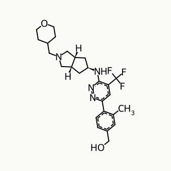 Cc1cc(CO)ccc1-c1cc(C(F)(F)F)c(N[C@H]2C[C@@H]3CN(CC4CCOCC4)C[C@@H]3C2)nn1